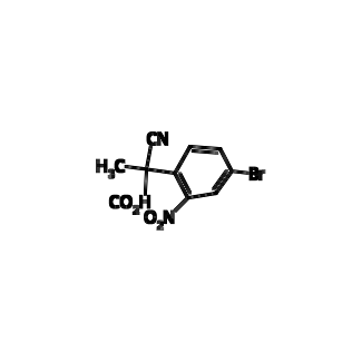 CC(C#N)(C(=O)O)c1ccc(Br)cc1[N+](=O)[O-]